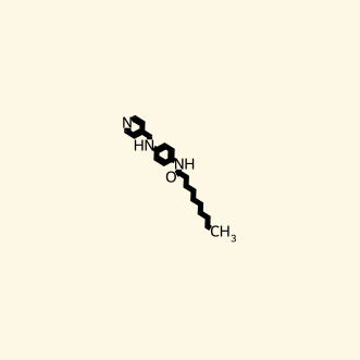 CCCCCCCCCC(=O)Nc1ccc(NCc2ccncc2)cc1